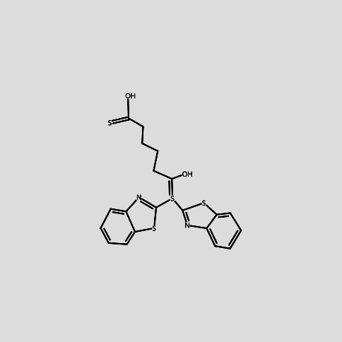 OC(=S)CCCCC(O)=S(c1nc2ccccc2s1)c1nc2ccccc2s1